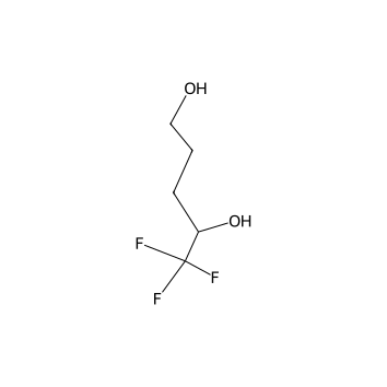 OCCCC(O)C(F)(F)F